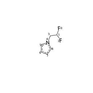 FC(F)Cn1cccc1